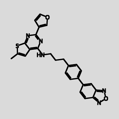 Cc1cc2c(NCCCc3ccc(-c4ccc5nonc5c4)cc3)nc(-c3ccoc3)nc2s1